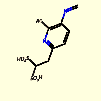 C=Nc1ccc(CC(S(=O)(=O)O)S(=O)(=O)O)nc1C(C)=O